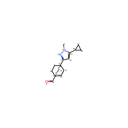 Cn1nc(C23CCC(C=O)(CC2)CC3)cc1C1CC1